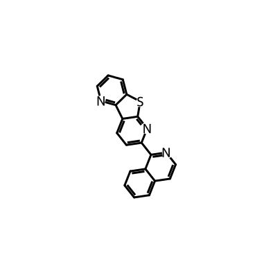 c1ccc2c(-c3ccc4c(n3)sc3cccnc34)nccc2c1